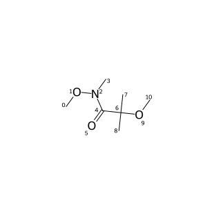 CON(C)C(=O)C(C)(C)OC